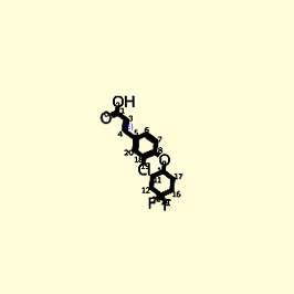 O=C(O)/C=C/c1ccc(OC2CCC(F)(F)CC2)c(Cl)c1